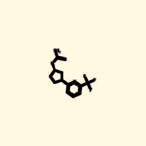 NC(=O)O[C@@H]1CCN(c2cccc(C(F)(F)F)n2)C1